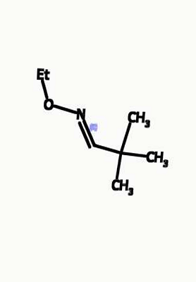 CCO/N=C/C(C)(C)C